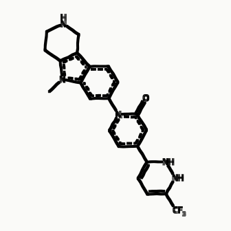 Cn1c2c(c3ccc(-n4ccc(C5=CC=C(C(F)(F)F)NN5)cc4=O)cc31)CNCC2